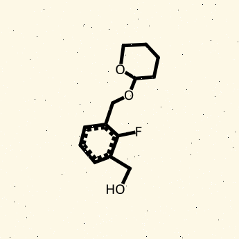 OCc1cccc(COC2CCCCO2)c1F